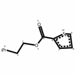 CC(C)CCOC(=O)c1cccs1